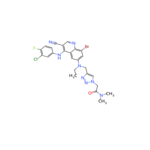 CCN(Cc1cn(CC(=O)N(C)C)nn1)c1cc(Br)c2ncc(C#N)c(Nc3ccc(F)c(Cl)c3)c2c1